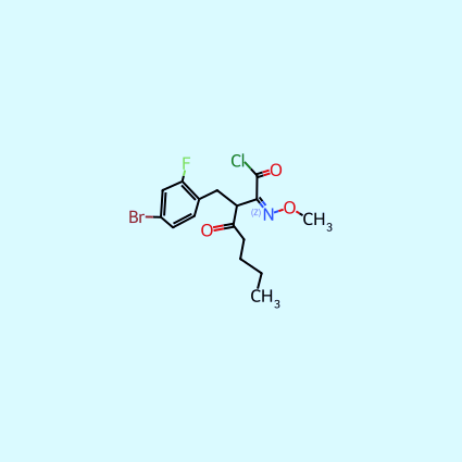 CCCCC(=O)C(Cc1ccc(Br)cc1F)/C(=N/OC)C(=O)Cl